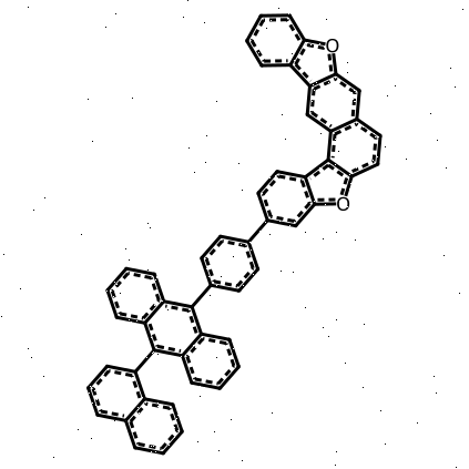 c1ccc2c(-c3c4ccccc4c(-c4ccc(-c5ccc6c(c5)oc5ccc7cc8oc9ccccc9c8cc7c56)cc4)c4ccccc34)cccc2c1